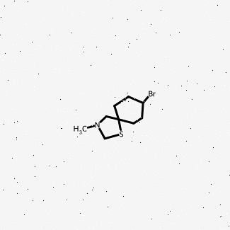 CN1CSC2(CCC(Br)CC2)C1